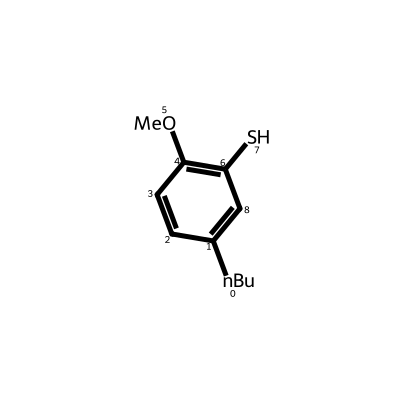 CCCCc1ccc(OC)c(S)c1